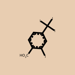 O=C(O)c1ccc(C(I)(I)I)cc1I